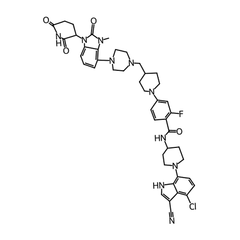 Cn1c(=O)n(C2CCC(=O)NC2=O)c2cccc(N3CCN(CC4CCN(c5ccc(C(=O)NC6CCN(c7ccc(Cl)c8c(C#N)c[nH]c78)CC6)c(F)c5)CC4)CC3)c21